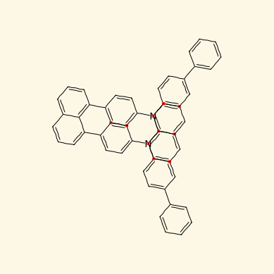 c1ccc(-c2ccc(N(c3ccccc3)c3ccc(-c4cccc5cccc(-c6ccc(N(c7ccccc7)c7ccc(-c8ccccc8)cc7)cc6)c45)cc3)cc2)cc1